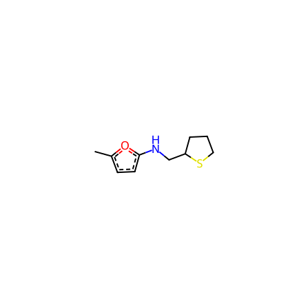 Cc1ccc(NCC2CCCS2)o1